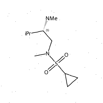 CN[C@H](CN(C)S(=O)(=O)C1CC1)C(C)C